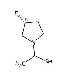 CC(S)N1CC[C@@H](F)C1